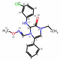 CCN1C=C(c2ccccc2)N(C=NOC)C(Nc2cccc(Cl)c2)C1=O